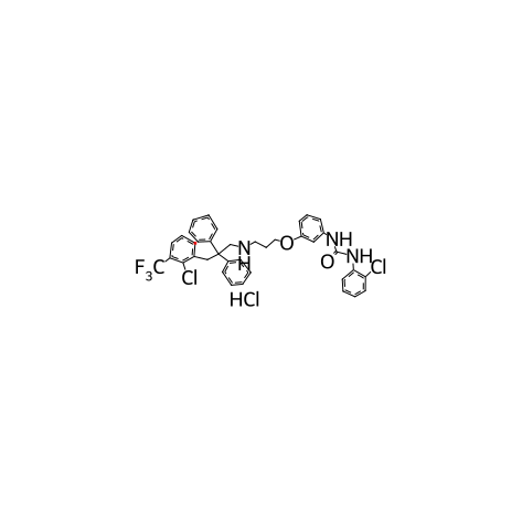 Cl.O=C(Nc1cccc(OCCCNCC(Cc2cccc(C(F)(F)F)c2Cl)(c2ccccc2)c2ccccc2)c1)Nc1ccccc1Cl